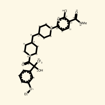 CCOc1cccc(C(O)(C(=O)N2CCC(CC3CCN(c4ccc(C(=O)NC)c(Cl)n4)CC3)CC2)C(F)(F)F)c1